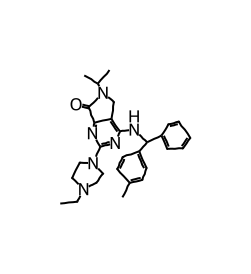 CCN1CCN(c2nc(NC(c3ccccc3)c3ccc(C)cc3)c3c(n2)C(=O)N(C(C)C)C3)CC1